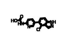 O=C(O)Nc1ccc(-c2ccc3[nH]ncc3c2Cl)cn1